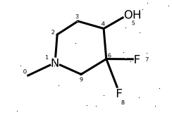 CN1CCC(O)C(F)(F)C1